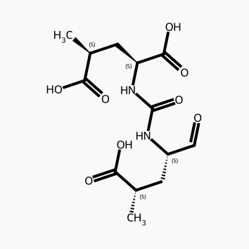 C[C@@H](C[C@@H](C=O)NC(=O)N[C@@H](C[C@H](C)C(=O)O)C(=O)O)C(=O)O